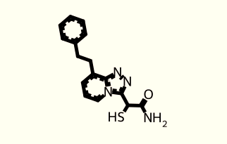 NC(=O)C(S)c1nnc2c(CCc3ccccc3)cccn12